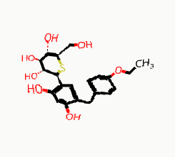 CCOc1ccc(Cc2cc([C@@H]3S[C@H](CO)[C@@H](O)[C@H](O)[C@H]3O)c(O)cc2O)cc1